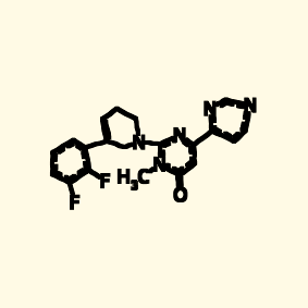 Cn1c(N2CCC=C(c3cccc(F)c3F)C2)nc(-c2ccncn2)cc1=O